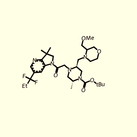 CCC(F)(F)c1cnc2c(c1)N(C(=O)CN1C[C@@H](C)N(C(=O)OC(C)(C)C)C[C@@H]1CN1CCOCC1COC)CC2(C)C